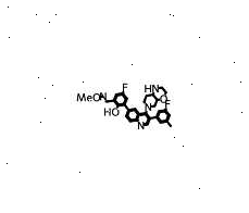 CO/N=C/c1cc(F)cc(-c2ccc3ncc(-c4cc(C)cc(F)c4)c(N4CCC5NCCOC5C4)c3c2)c1O